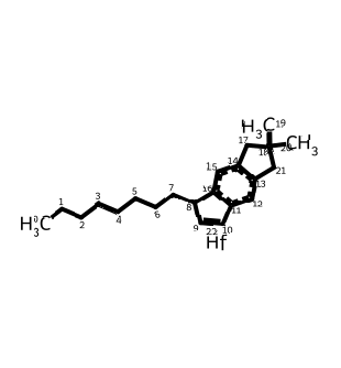 CCCCCCCC[C]1C=Cc2cc3c(cc21)CC(C)(C)C3.[Hf]